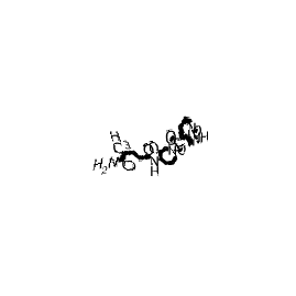 CC(C[CH]C(=O)N[C@H]1CCCN(S(=O)(=O)C2=CC=CN3ONC=C23)CC1=O)C(N)=O